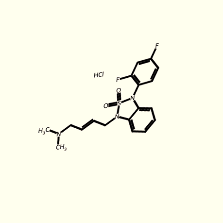 CN(C)CC=CCN1c2ccccc2N(c2ccc(F)cc2F)S1(=O)=O.Cl